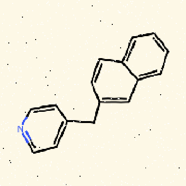 c1ccc2cc(Cc3ccncc3)ccc2c1